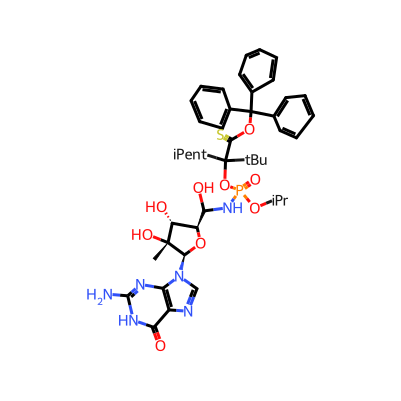 CCCC(C)C(OP(=O)(NC(O)[C@H]1O[C@@H](n2cnc3c(=O)[nH]c(N)nc32)[C@](C)(O)[C@@H]1O)OC(C)C)(C(=S)OC(c1ccccc1)(c1ccccc1)c1ccccc1)C(C)(C)C